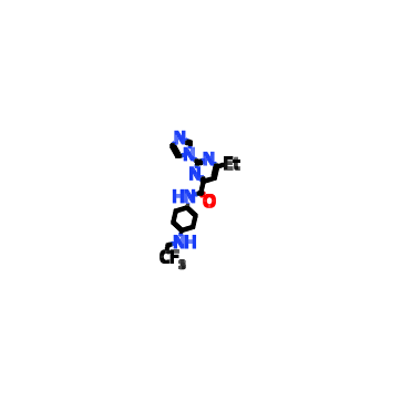 CCc1cc(C(=O)N[C@H]2CC[C@H](NCC(F)(F)F)CC2)nc(-n2ccnc2)n1